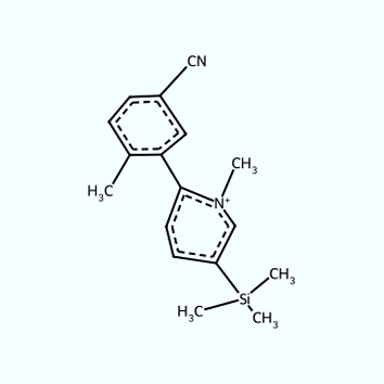 Cc1ccc(C#N)cc1-c1ccc([Si](C)(C)C)c[n+]1C